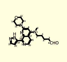 CN(CCCCC=O)c1cc(N2CCOCC2)nc2c(-c3ccn[nH]3)nccc12